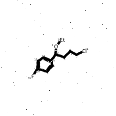 CCOC(CCCCl)c1ccc(F)cc1